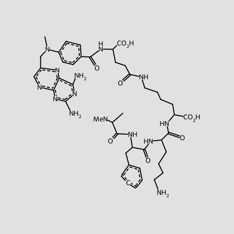 CNC(C)C(=O)NC(Cc1ccccc1)C(=O)NC(CCCCN)C(=O)NC(CCCCNC(=O)CCC(NC(=O)c1ccc(N(C)Cc2cnc3nc(N)nc(N)c3n2)cc1)C(=O)O)C(=O)O